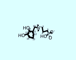 C[N+](C)(CCCP(=O)([O-])O)Cc1cccc(O)c1O